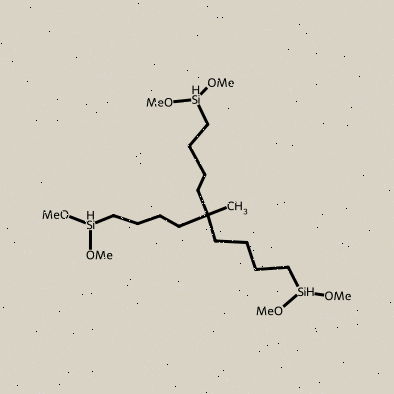 CO[SiH](CCCCC(C)(CCCC[SiH](OC)OC)CCCC[SiH](OC)OC)OC